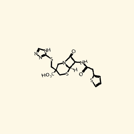 O=C(Cc1cccs1)NC1C(=O)N2CC(CSc3nnc[nH]3)(C(=O)O)CS[C@H]12